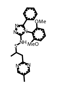 COc1cccc(OC)c1-n1c(NSC(C)Cc2ncc(C)cn2)nnc1-c1ccccc1